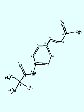 CC(C)(N)C(=O)Nc1ccc(/C=C/C(=O)O)cc1